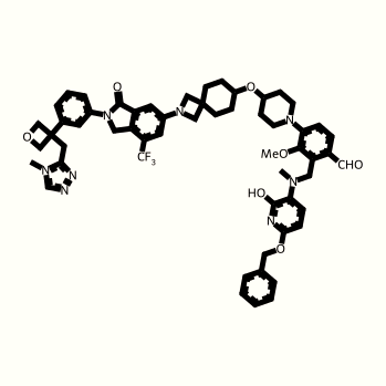 COc1c(N2CCC(OC3CCC4(CC3)CN(c3cc5c(c(C(F)(F)F)c3)CN(c3cccc(C6(Cc7nncn7C)COC6)c3)C5=O)C4)CC2)ccc(C=O)c1CN(C)c1ccc(OCc2ccccc2)nc1O